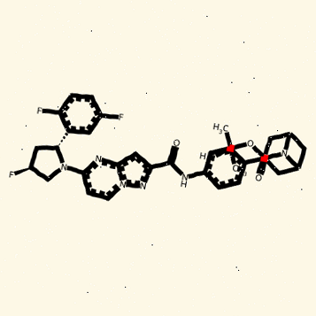 CC(C)(C)OC(=O)N1C2CC1CN(c1ccc(NC(=O)c3cc4nc(N5C[C@@H](F)C[C@@H]5c5cc(F)ccc5F)ccn4n3)cc1)C2